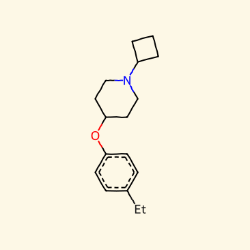 [CH2]Cc1ccc(OC2CCN(C3CCC3)CC2)cc1